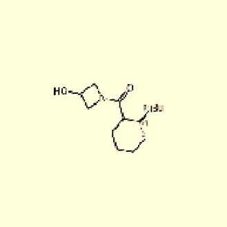 CC[C@H](C)[C@@H]1CCCCC1C(=O)N1CC(O)C1